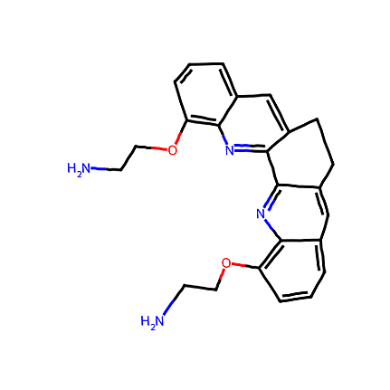 NCCOc1cccc2cc3c(nc12)-c1nc2c(OCCN)cccc2cc1CC3